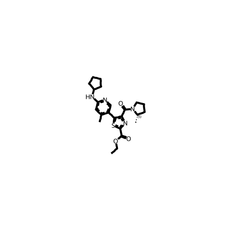 CCOC(=O)c1nc(C(=O)N2CCC[C@@H]2C)c(-c2cnc(NC3CCCC3)cc2C)s1